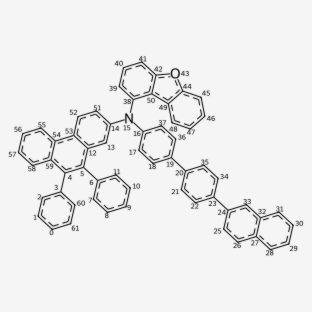 c1ccc(-c2c(-c3ccccc3)c3cc(N(c4ccc(-c5ccc(-c6ccc7ccccc7c6)cc5)cc4)c4cccc5oc6ccccc6c45)ccc3c3ccccc23)cc1